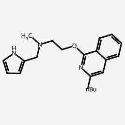 CCCCc1cc2ccccc2c(OCCN(C)Cc2ccc[nH]2)n1